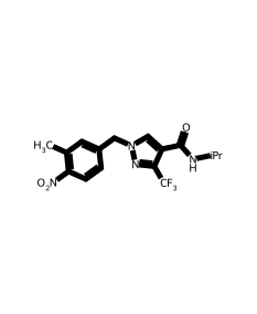 Cc1cc(Cn2cc(C(=O)NC(C)C)c(C(F)(F)F)n2)ccc1[N+](=O)[O-]